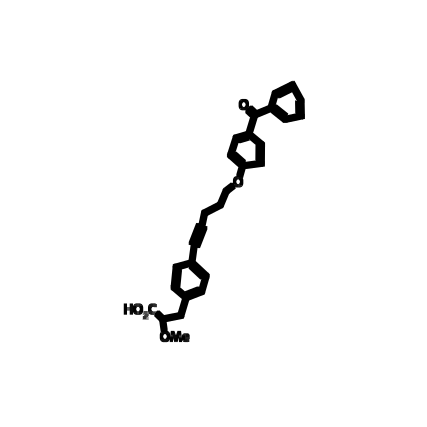 COC(Cc1ccc(C#CCCCOc2ccc(C(=O)c3ccccc3)cc2)cc1)C(=O)O